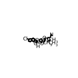 CC(C)CN(CCC#N)C(=O)C(C)N1CCC(NS(=O)(=O)c2ccc3cc(Cl)ccc3c2)C1=O